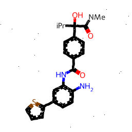 CNC(=O)C(O)(c1ccc(C(=O)Nc2cc(-c3cccs3)ccc2N)cc1)C(C)C